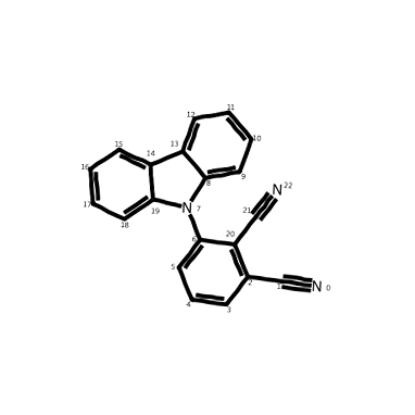 N#Cc1cccc(-n2c3ccccc3c3ccccc32)c1C#N